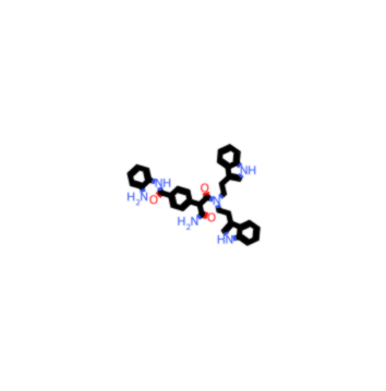 NC(=O)C(C(=O)N(CCc1c[nH]c2ccccc12)CCc1c[nH]c2ccccc12)c1ccc(C(=O)Nc2ccccc2N)cc1